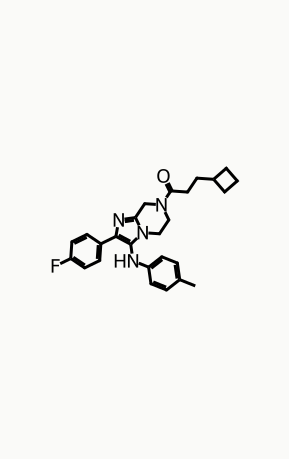 Cc1ccc(Nc2c(-c3ccc(F)cc3)nc3n2CCN(C(=O)CCC2CCC2)C3)cc1